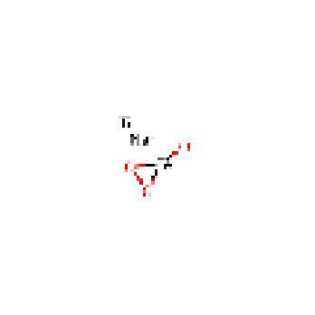 [Na+].[O-][Fe]1[O][O]1.[Ti]